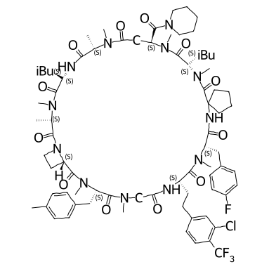 CC[C@H](C)[C@@H]1NC(=O)[C@H](C)N(C)C(=O)C[C@@H](C(=O)N2CCCCC2)N(C)C(=O)[C@H]([C@@H](C)CC)N(C)C(=O)C2(CCCC2)NC(=O)[C@H](Cc2ccc(F)cc2)N(C)C(=O)[C@H](CCc2ccc(C(F)(F)F)c(Cl)c2)NC(=O)CN(C)C(=O)[C@H](Cc2ccc(C)cc2)N(C)C(=O)[C@@H]2CCN2C(=O)[C@H](C)N(C)C1=O